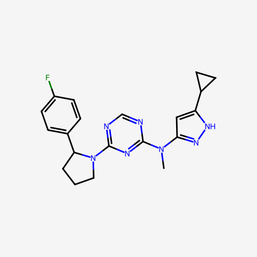 CN(c1cc(C2CC2)[nH]n1)c1ncnc(N2CCCC2c2ccc(F)cc2)n1